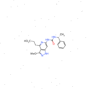 COc1n[nH]c2cc(NC(=O)N[C@H](C)c3ccccc3)nc(CCC(=O)O)c12